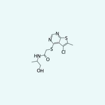 Cc1sc2ncnc(SCC(=O)NC(C)CO)c2c1Cl